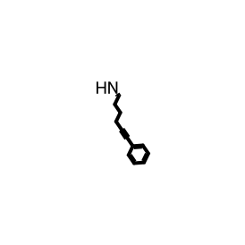 N=CCCCC#Cc1ccccc1